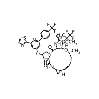 CCC1O[C@H](C)CC/C=C\[C@H]2CC2NC(=O)[C@@H]2C[C@@H](Oc3cc(-c4ccc(C(F)(F)F)cc4)nc(-c4nccs4)c3)CN2C(=O)[C@H]1NC(=O)OC(C)(C)C(F)(F)F